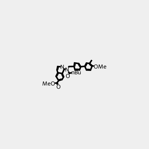 CCCCC(=O)N(Cc1ccc(-c2ccc(OC)c(C)c2)cc1)c1nccc2cc(C(=O)OC)ccc12